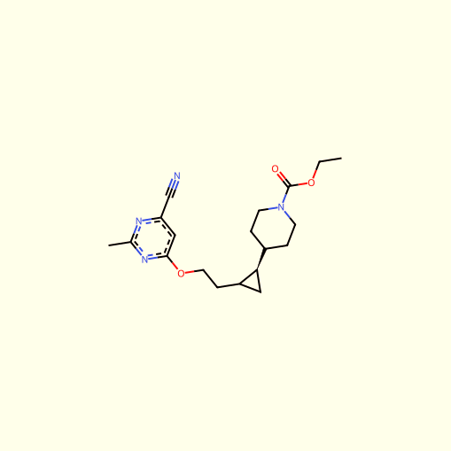 CCOC(=O)N1CCC([C@H]2CC2CCOc2cc(C#N)nc(C)n2)CC1